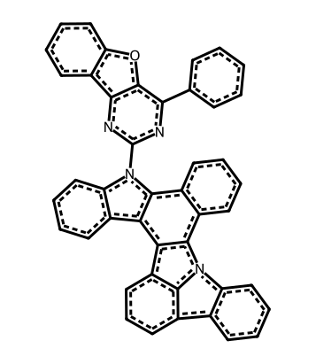 c1ccc(-c2nc(-n3c4ccccc4c4c5c6cccc7c8ccccc8n(c76)c5c5ccccc5c43)nc3c2oc2ccccc23)cc1